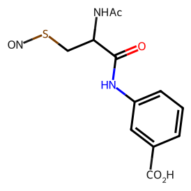 CC(=O)NC(CSN=O)C(=O)Nc1cccc(C(=O)O)c1